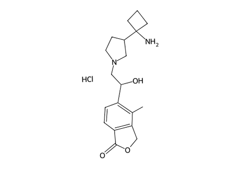 Cc1c(C(O)CN2CCC(C3(N)CCC3)C2)ccc2c1COC2=O.Cl